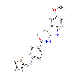 COc1ccc2nc(NC(=O)c3ccc([I+]c4cccs4)cc3)sc2c1